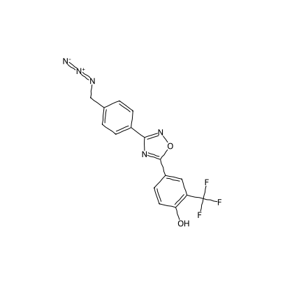 [N-]=[N+]=NCc1ccc(-c2noc(-c3ccc(O)c(C(F)(F)F)c3)n2)cc1